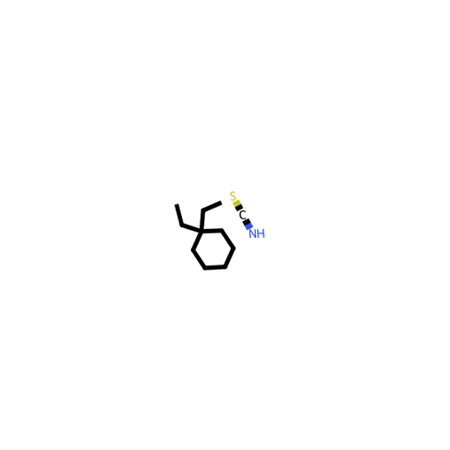 CCC1(CC)CCCCC1.N=C=S